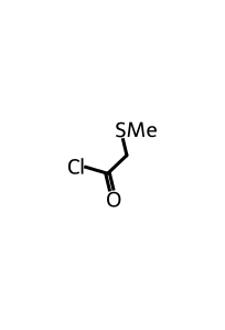 CSCC(=O)Cl